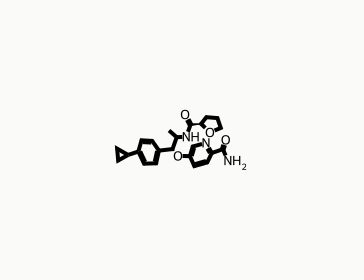 CC(NC(=O)[C@H]1CCCO1)[C@H](Oc1ccc(C(N)=O)nc1)c1ccc(C2CC2)cc1